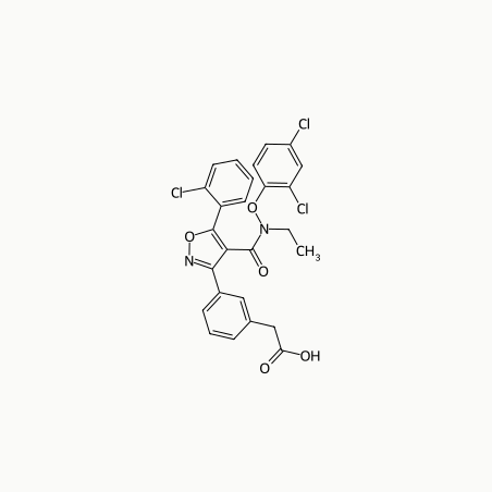 CCN(Oc1ccc(Cl)cc1Cl)C(=O)c1c(-c2cccc(CC(=O)O)c2)noc1-c1ccccc1Cl